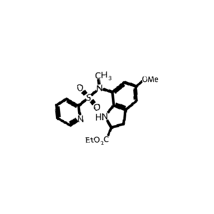 CCOC(=O)C1Cc2cc(OC)cc(N(C)S(=O)(=O)c3ccccn3)c2N1